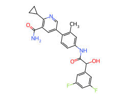 Cc1cc(NC(=O)C(O)c2cc(F)cc(F)c2)ccc1-c1cnc(C2CC2)c(C(N)=O)c1